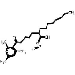 CCCCCCCCC(CCCCC(=O)c1c(C)cc(C)cc1C)C(=O)O.O=P